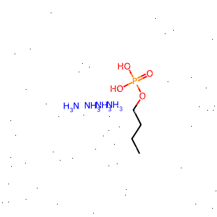 CCCCOP(=O)(O)O.N.N.N.N